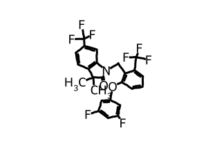 CC1(C)C(=O)N(Cc2c(Oc3cc(F)cc(F)c3)cccc2C(F)(F)F)c2cc(C(F)(F)F)ccc21